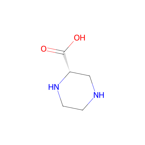 O=C(O)[C@@H]1CNCCN1